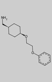 NC[C@H]1CC[C@@H](OCCOc2ccccc2)CC1